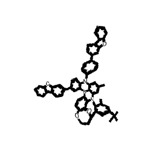 Cc1cc2c3c(c1)N1c4c(C)cc(C(C)(C)C)cc4C4CCOc5ccc(c1c5O4)B3c1cc(-c3ccc4c(c3)oc3ccccc34)ccc1N2c1ccc(-c2ccc3c(c2)oc2ccccc23)cc1